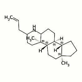 C=CCC1CC[C@@]2(C)C(CC[C@H]3[C@@H]4CCC[C@@]4(C)CC[C@@H]32)N1